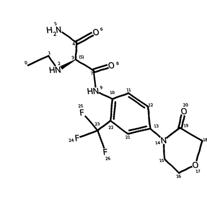 CCN[C@@H](C(N)=O)C(=O)Nc1ccc(N2CCOCC2=O)cc1C(F)(F)F